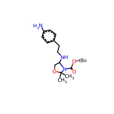 CC(C)(C)OC(=O)N1C(NCCc2ccc(N)cc2)COC1(C)C